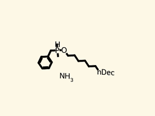 CCCCCCCCCCCCCCCCO[PH](C)(C)Cc1ccccc1.N